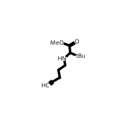 C#CCCCNC(C(=O)OC)C(C)(C)C